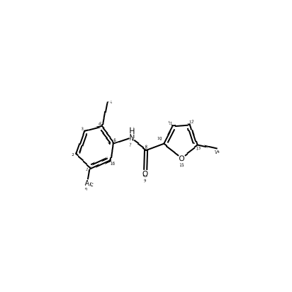 CC(=O)c1ccc(C)c(NC(=O)c2ccc(C)o2)c1